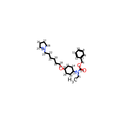 CCN(C(=O)OCc1ccccc1)C1CCC(OCCCCCCN2CCCC2)CC1